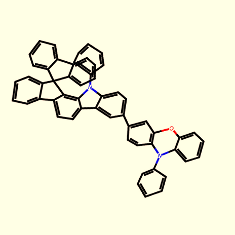 c1ccc(N2c3ccccc3Oc3cc(-c4ccc5c(c4)c4ccc6c(c4n5-c4ccccc4)C4(c5ccccc5-c5ccccc54)c4ccccc4-6)ccc32)cc1